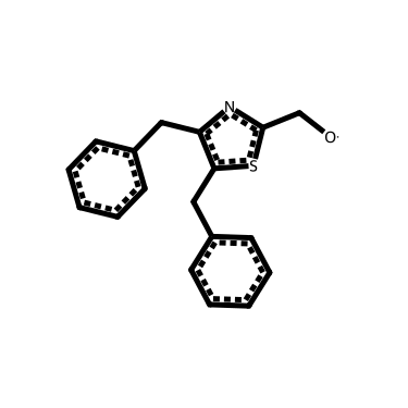 [O]Cc1nc(Cc2ccccc2)c(Cc2ccccc2)s1